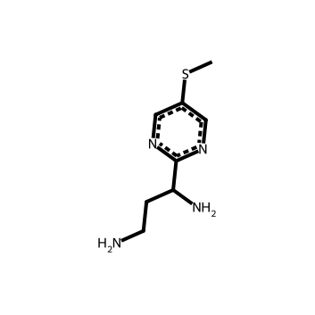 CSc1cnc(C(N)CCN)nc1